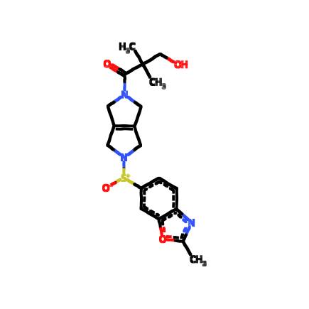 Cc1nc2ccc([S+]([O-])N3CC4=C(CN(C(=O)C(C)(C)CO)C4)C3)cc2o1